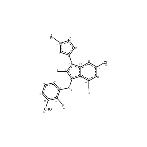 CCn1cc(-n2c(C)c(Sc3cccc(C=O)c3F)c3c(F)cc(Cl)cc32)cn1